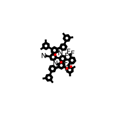 Cc1cc(C)cc(-c2ccc3c(c2)c2cc(-c4cc(C)cc(C)c4)ccc2n3-c2cc(C#N)ccc2-c2ccc(-c3c(C(F)(F)F)cccc3C(F)(F)F)cc2-n2c3ccc(-c4cc(C)cc(C)c4)cc3c3cc(-c4cc(C)cc(C)c4)ccc32)c1